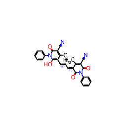 CC1=C(C#N)C(=O)N(c2ccccc2)C(=O)/C1=C/C=C/c1c(C)c(C#N)c(=O)n(-c2ccccc2)c1O